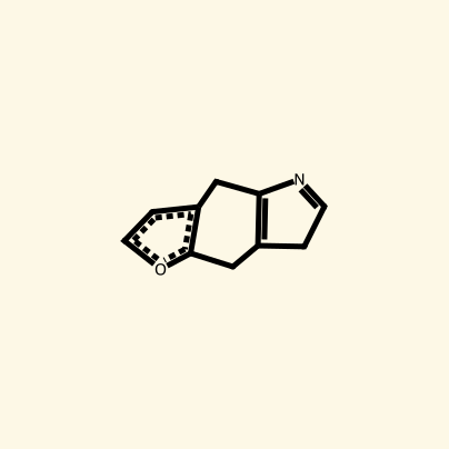 C1=NC2=C(C1)Cc1occc1C2